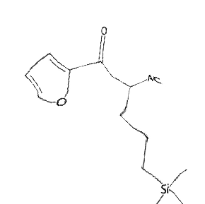 CC(=O)C(CCC[Si](C)(C)C)C(=O)c1ccco1